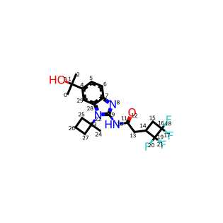 CC(C)(O)c1ccc2nc(NC(=O)CC3CC(F)(F)C3(F)F)n(C3(C)CCC3)c2c1